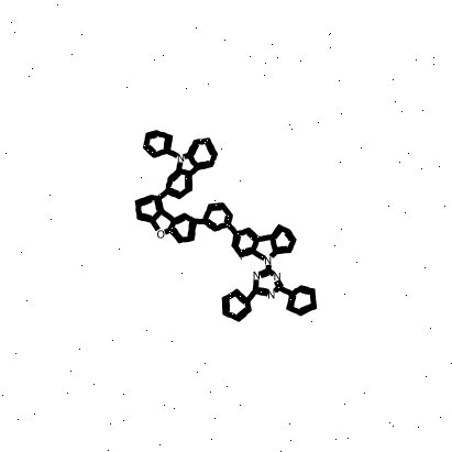 c1ccc(-c2nc(-c3ccccc3)nc(-n3c4ccccc4c4cc(-c5cccc(-c6ccc7oc8cccc(-c9ccc%10c%11ccccc%11n(-c%11ccccc%11)c%10c9)c8c7c6)c5)ccc43)n2)cc1